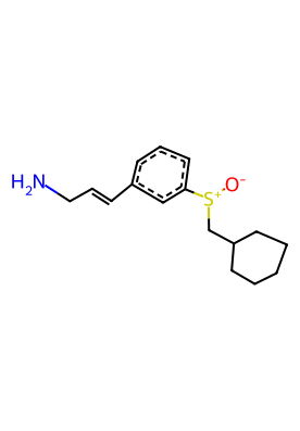 NC/C=C/c1cccc([S+]([O-])CC2CCCCC2)c1